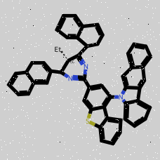 CC[C@@H]1C(C2CC=Cc3ccccc32)=NC(c2cc(-n3c4ccccc4c4cc5ccccc5cc43)c3c(c2)sc2ccccc23)=NC1C1=CCC2C=CC=CC2=C1